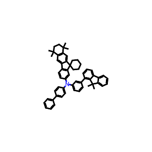 CC1(C)CCC(C)(C)c2cc3c(cc21)-c1ccc(N(c2ccc(-c4ccccc4)cc2)c2cccc(-c4cccc5c4C(C)(C)c4ccccc4-5)c2)cc1C31CCCCC1